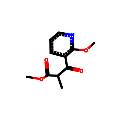 COC(=O)C(C)C(=O)c1cccnc1OC